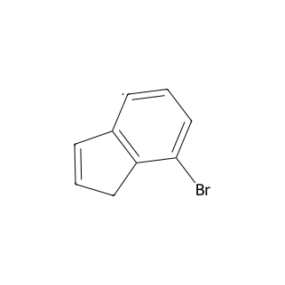 Brc1cc[c]c2c1CC=C2